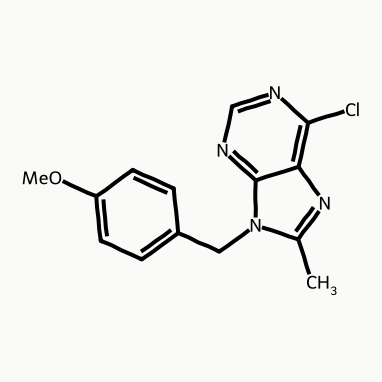 COc1ccc(Cn2c(C)nc3c(Cl)ncnc32)cc1